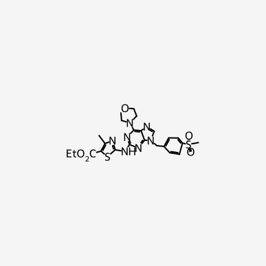 CCOC(=O)c1sc(Nc2nc(N3CCOCC3)c3ncn(Cc4ccc(S(C)(=O)=O)cc4)c3n2)nc1C